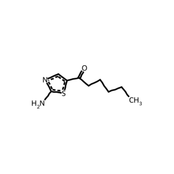 CCCCCC(=O)c1cnc(N)s1